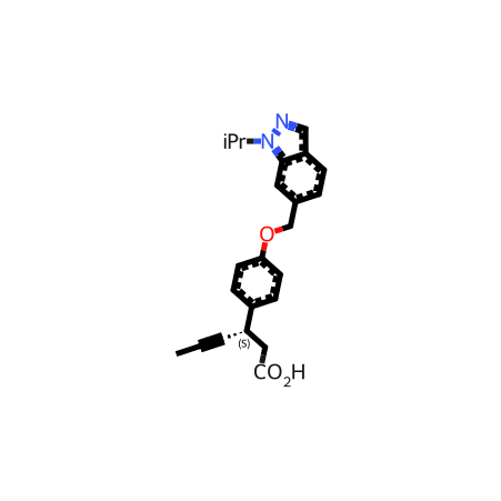 CC#C[C@@H](CC(=O)O)c1ccc(OCc2ccc3cnn(C(C)C)c3c2)cc1